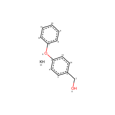 OCc1ccc(Oc2ccccc2)cc1.[KH]